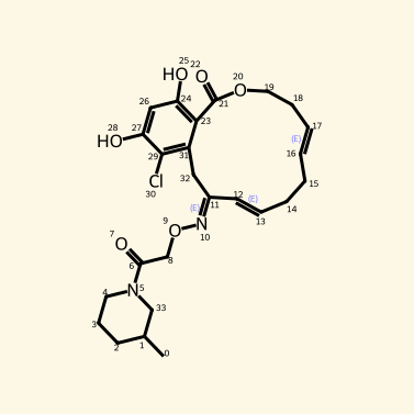 CC1CCCN(C(=O)CO/N=C2/C=C/CC/C=C/CCOC(=O)c3c(O)cc(O)c(Cl)c3C2)C1